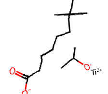 CC(C)(C)CCCCCC(=O)[O-].CC(C)[O-].[Ti+2]